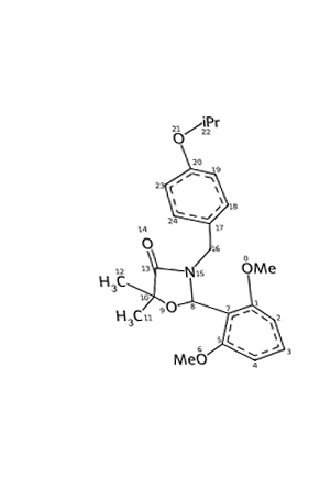 COc1cccc(OC)c1C1OC(C)(C)C(=O)N1Cc1ccc(OC(C)C)cc1